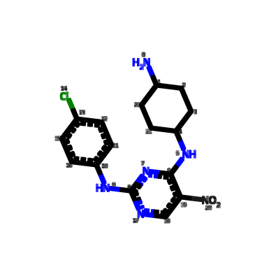 NC1CCC(Nc2nc(Nc3ccc(Cl)cc3)ncc2[N+](=O)[O-])CC1